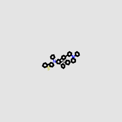 c1ccc(N(c2ccccc2)c2cccc(-c3ccc4c(c3)[Si](c3ccccc3)(c3ccccc3)c3ccc(N(c5ccccc5)c5ccc6sc7ccccc7c6c5)cc3-4)c2)cc1